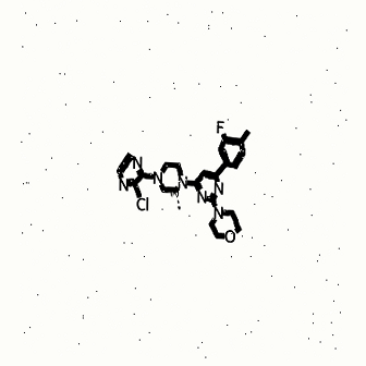 Cc1ccc(-c2cc(N3CCN(c4nccnc4Cl)C[C@H]3C)nc(N3CCOCC3)n2)cc1F